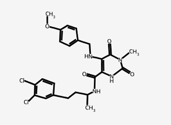 COc1ccc(CNc2c(C(=O)NC(C)CCc3ccc(Cl)c(Cl)c3)[nH]c(=O)n(C)c2=O)cc1